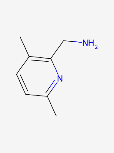 Cc1ccc(C)c(CN)n1